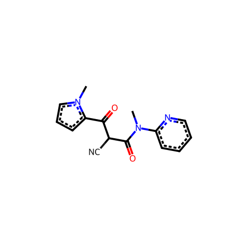 CN(C(=O)C(C#N)C(=O)c1cccn1C)c1ccccn1